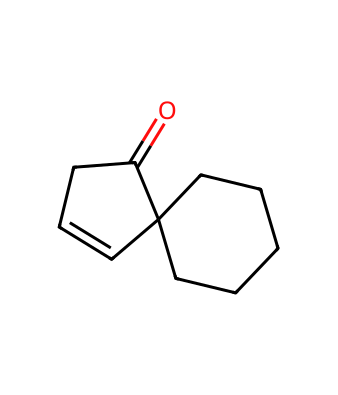 O=C1CC=CC12CCCCC2